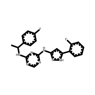 CC(Nc1ncnc(Nc2cc(-c3ccccc3F)[nH]n2)n1)c1ccc(F)cc1